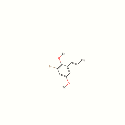 CCOc1cc(Br)c(OCC)c(C=CC#N)c1